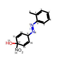 Cc1ccccc1/N=N/C1C=CC(O)([N+](=O)[O-])C=C1